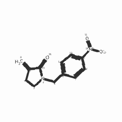 C=C1CCN(Cc2ccc([N+](=O)[O-])cc2)C1=O